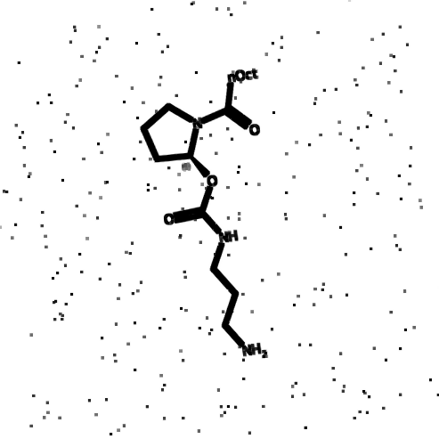 CCCCCCCCC(=O)N1CCC[C@@H]1OC(=O)NCCCN